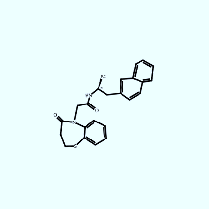 CC(=O)[C@@H](Cc1ccc2ccccc2c1)NC(=O)CN1C(=O)CCSc2ccccc21